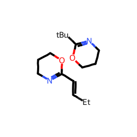 CC(C)(C)C1=NCCCO1.CCC=CC1=NCCCO1